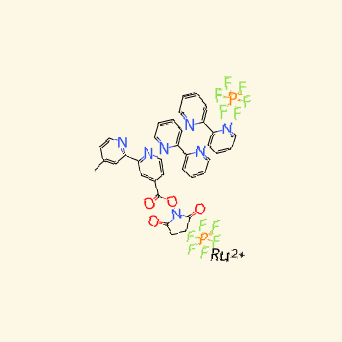 Cc1ccnc(-c2cc(C(=O)ON3C(=O)CCC3=O)ccn2)c1.F[P-](F)(F)(F)(F)F.F[P-](F)(F)(F)(F)F.[Ru+2].c1ccc(-c2ccccn2)nc1.c1ccc(-c2ccccn2)nc1